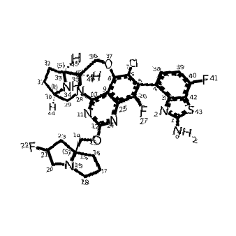 Nc1nc2c(-c3c(Cl)c4c5c(nc(OC[C@@]67CCCN6CC(F)C7)nc5c3F)N3C[C@H]5CC[C@H](N5)[C@H]3CO4)ccc(F)c2s1